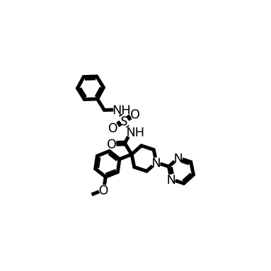 COc1cccc(C2(C(=O)NS(=O)(=O)NCc3ccccc3)CCN(c3ncccn3)CC2)c1